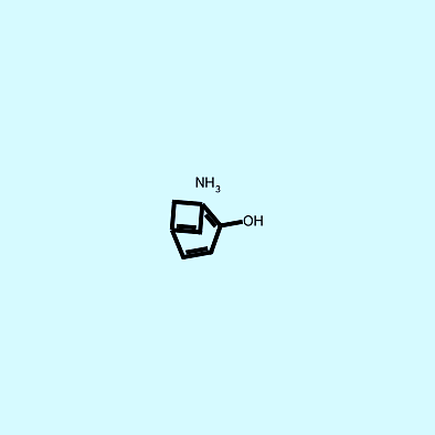 N.Oc1ccc2cc1C2